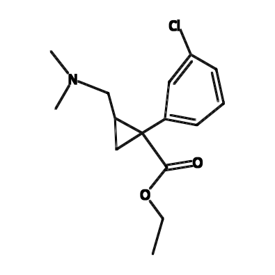 CCOC(=O)C1(c2cccc(Cl)c2)CC1CN(C)C